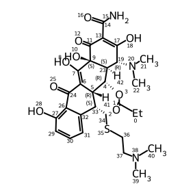 CCC(=O)O[C@@H]1[C@H]2C(=C(O)[C@]3(O)C(=O)C(C(N)=O)=C(O)[C@H](N(C)C)[C@@H]13)C(=O)c1c(O)cccc1[C@H]2CSCCN(C)C